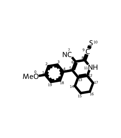 COc1ccc(C2=C(C#N)C(=C=S)NC3=C2CCCC3)cc1